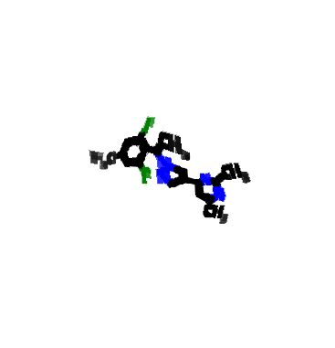 Cc1cc(-c2cnn(C(C)c3c(F)cc(C(F)(F)F)cc3F)c2)nc(C)n1